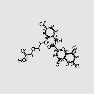 O=C(O)COCCOc1cc(Cl)ccc1NC(=O)c1cc(=O)c2cc(Cl)cc(Cl)c2o1